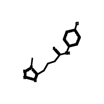 Cn1nnnc1CCCC(=S)Nc1ccc(Cl)cc1